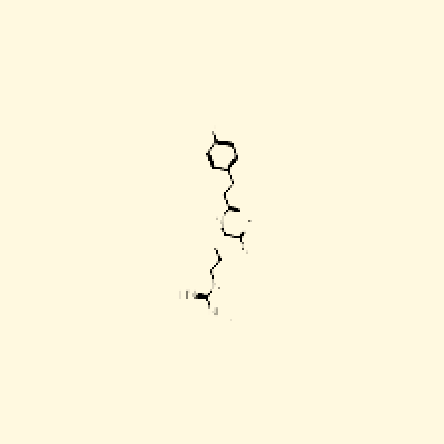 N=C(N)NCCC[C@H](NC(=O)CCc1ccc(O)cc1)C(N)=O